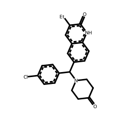 CCc1cc2cc(C(c3ccc(Cl)cc3)N3CCC(=O)CC3)ccc2[nH]c1=O